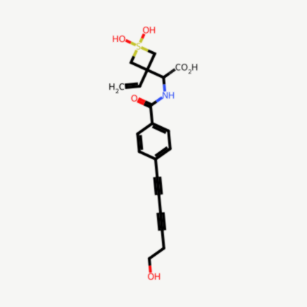 C=CC1(C(NC(=O)c2ccc(C#CC#CCCO)cc2)C(=O)O)CS(O)(O)C1